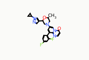 CC1CN(c2cc(-c3ccc(F)cc3F)c3nccc(=O)n3c2)CC(c2cnn(C3CC3)c2)O1